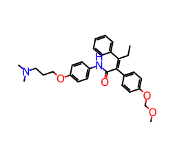 CCC(=C(C(=O)Nc1ccc(OCCCN(C)C)cc1)c1ccc(OCOC)cc1)c1ccccc1